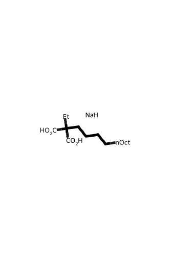 CCCCCCCCCCCCC(CC)(C(=O)O)C(=O)O.[NaH]